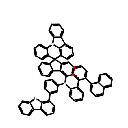 c1cc(-c2cccc3c2oc2ccccc23)cc(N(c2ccccc2-c2ccccc2-c2cccc3ccccc23)c2cccc3c2-c2ccccc2C32c3ccccc3-n3c4ccccc4c4cccc2c43)c1